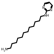 NCCCCCCCCCCCCNc1ncccn1